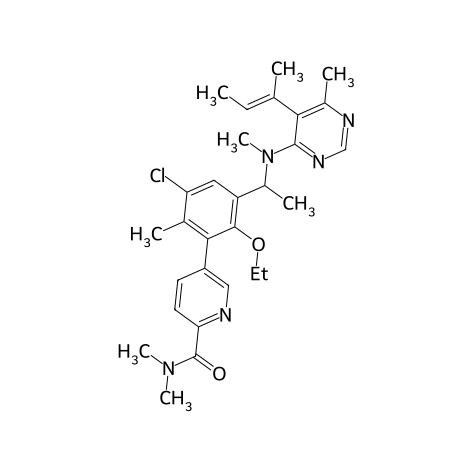 CC=C(C)c1c(C)ncnc1N(C)C(C)c1cc(Cl)c(C)c(-c2ccc(C(=O)N(C)C)nc2)c1OCC